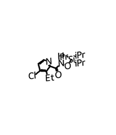 CCc1c(Cl)ccnc1C(=O)NO[Si](C(C)C)(C(C)C)C(C)C